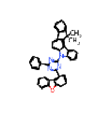 CC1(C)c2ccccc2-c2ccc3c(c21)c1ccccc1n3-c1nc(-c2ccccc2)nc(-c2cccc3oc4ccccc4c23)n1